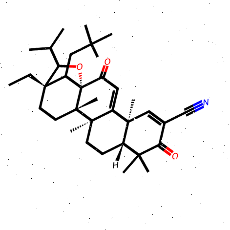 CC[C@@]12CC[C@@]3(C)[C@]4(C)CC[C@H]5C(C)(C)C(=O)C(C#N)=C[C@]5(C)C4=CC(=O)[C@]3(OC1C(C)C)C2CC(C)(C)C